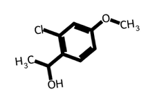 COc1ccc(C(C)O)c(Cl)c1